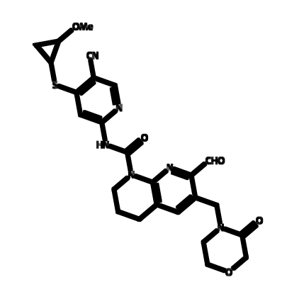 COC1CC1Sc1cc(NC(=O)N2CCCc3cc(CN4CCOCC4=O)c(C=O)nc32)ncc1C#N